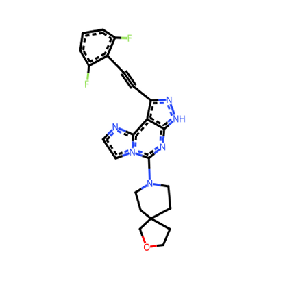 Fc1cccc(F)c1C#Cc1n[nH]c2nc(N3CCC4(CCOC4)CC3)n3ccnc3c12